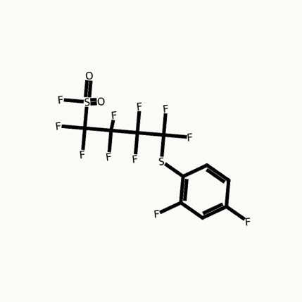 O=S(=O)(F)C(F)(F)C(F)(F)C(F)(F)C(F)(F)Sc1ccc(F)cc1F